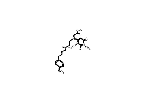 COC(=O)CN(CCNCCCCc1ccc([N+](=O)[O-])cc1)c1cc(=O)n(C)c(=O)n1C